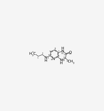 CCCNc1ccc2c(n1)NC(C)C(=O)N2